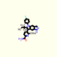 COc1nc(C(N)=O)ccc1-c1c(C(C)(C)CC#N)n(-c2ccc(F)cc2)c2cc3cn[nH]c3cc12